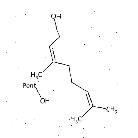 CC(C)=CCC/C(C)=C\CO.CCCC(C)O